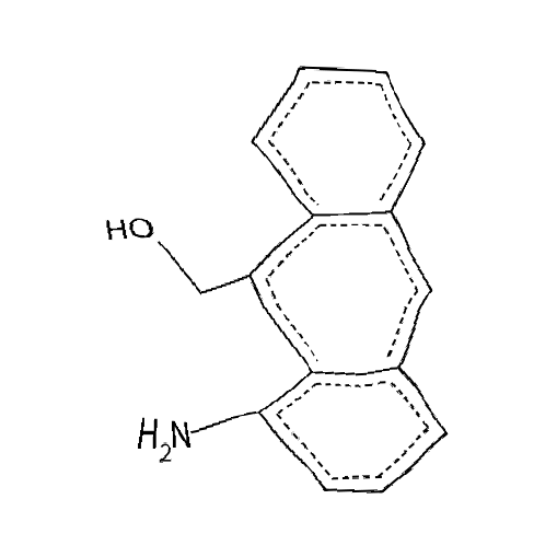 Nc1cccc2cc3ccccc3c(CO)c12